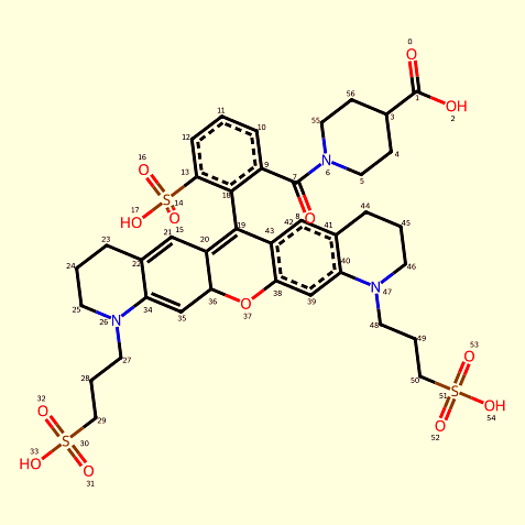 O=C(O)C1CCN(C(=O)c2cccc(S(=O)(=O)O)c2C2=C3C=C4CCCN(CCCS(=O)(=O)O)C4=CC3Oc3cc4c(cc32)CCCN4CCCS(=O)(=O)O)CC1